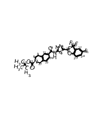 CC(C)(C)OC(=O)N1CCc2cc(C(=O)Nc3nnc(COc4ccc(F)cc4C(F)(F)F)s3)ccc2C1